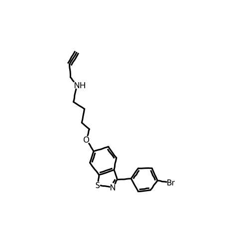 C#CCNCCCCOc1ccc2c(-c3ccc(Br)cc3)nsc2c1